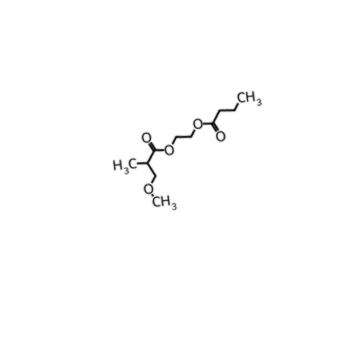 CCCC(=O)OCCOC(=O)C(C)COC